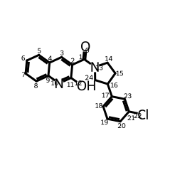 O=C(c1cc2ccccc2nc1O)N1CCC(c2cccc(Cl)c2)C1